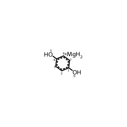 Oc1ccc(O)cc1.[MgH2]